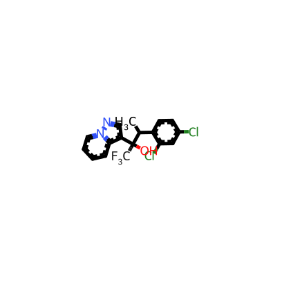 CC(c1ccc(Cl)cc1Cl)C(O)(c1cnn2ccccc12)C(F)(F)F